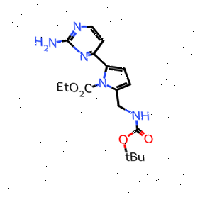 CCOC(=O)n1c(CNC(=O)OC(C)(C)C)ccc1-c1ccnc(N)n1